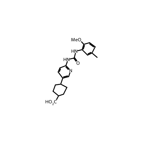 COc1ccc(C)cc1NC(=O)Nc1ccc(C2CCC(C(=O)O)CC2)cn1